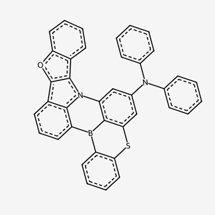 c1ccc(N(c2ccccc2)c2cc3c4c(c2)-n2c5c(cccc5c5oc6ccccc6c52)B4c2ccccc2S3)cc1